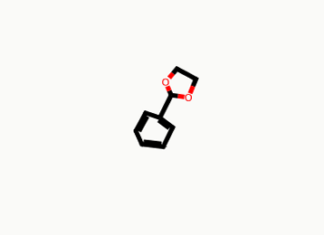 [c]1cccc(C2OCCO2)c1